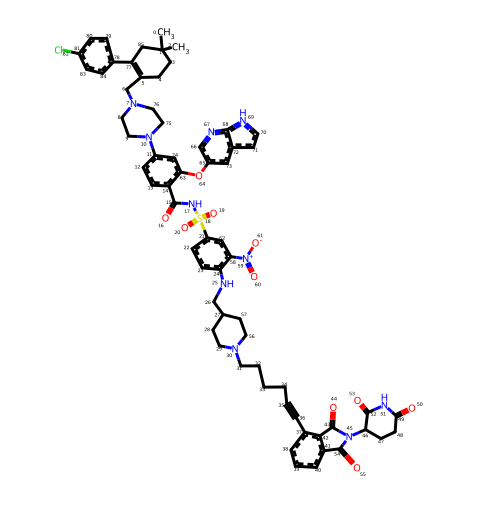 CC1(C)CCC(CN2CCN(c3ccc(C(=O)NS(=O)(=O)c4ccc(NCC5CCN(CCCCC#Cc6cccc7c6C(=O)N(C6CCC(=O)NC6=O)C7=O)CC5)c([N+](=O)[O-])c4)c(Oc4cnc5[nH]ccc5c4)c3)CC2)=C(c2ccc(Cl)cc2)C1